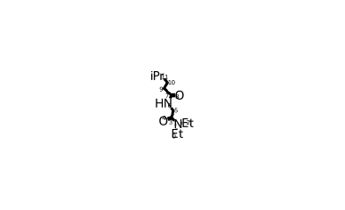 CCN(CC)C(=O)CNC(=O)CCC(C)C